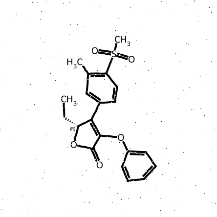 CC[C@H]1OC(=O)C(Oc2ccccc2)=C1c1ccc(S(C)(=O)=O)c(C)c1